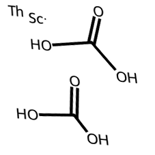 O=C(O)O.O=C(O)O.[Sc].[Th]